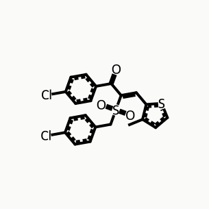 Cc1ccsc1C=C(C(=O)c1ccc(Cl)cc1)S(=O)(=O)Cc1ccc(Cl)cc1